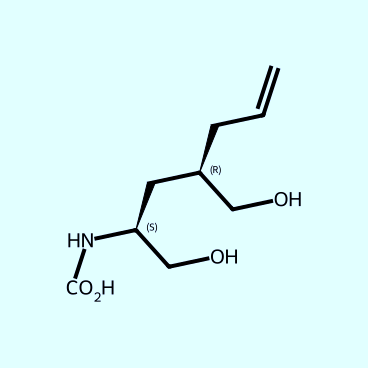 C=CC[C@@H](CO)C[C@@H](CO)NC(=O)O